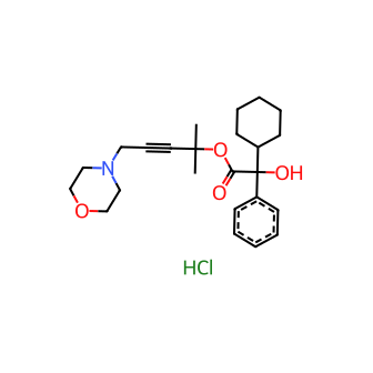 CC(C)(C#CCN1CCOCC1)OC(=O)C(O)(c1ccccc1)C1CCCCC1.Cl